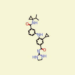 CC(C)C1(NC(=O)c2cccc(Nc3ccc(C(=O)N=C4NCCN4)cc3C3CC3)c2)CC1